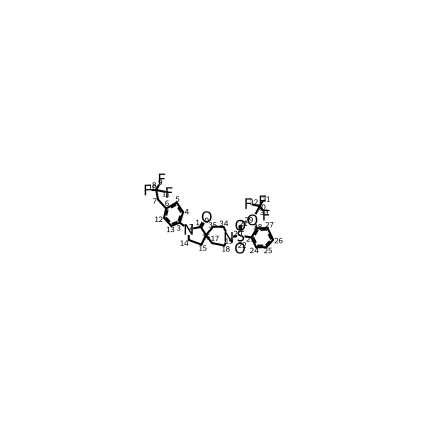 O=C1N(c2ccc(CC(F)(F)F)cc2)CCC12CCN(S(=O)(=O)c1ccccc1OC(F)(F)F)CC2